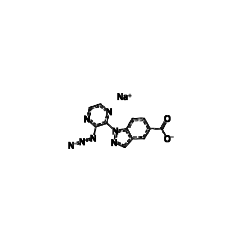 [N-]=[N+]=Nc1nccnc1-n1ncc2cc(C(=O)[O-])ccc21.[Na+]